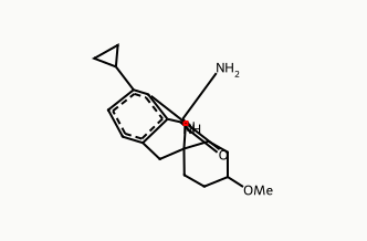 COC1CCC2(CC1)Cc1ccc(C3CC3)cc1C21N=C(N)NC1=O